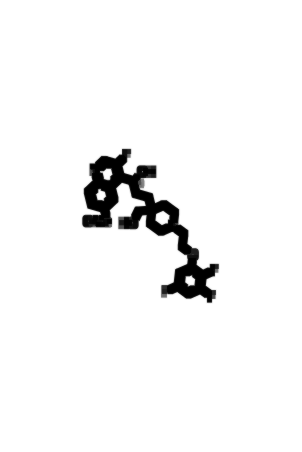 COc1ccc2ncc(F)c([C@@H](O)CCC3(CO)CCN(CCOc4cc(F)cc(F)c4F)CC3)c2c1